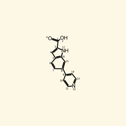 O=C(O)c1cc2ccc(-c3ccncc3)cc2[nH]1